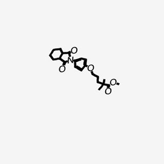 COC(=O)C(C)(C)CCCOc1ccc(N2C(=O)C3CCCCC3C2=O)cc1